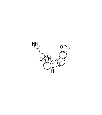 NCCCCS(=O)(=O)N1CCC[C@@H]2CN3CCc4cc5c(cc4[C@@H]3C[C@@H]21)OCO5